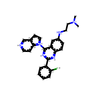 CN(C)CCNc1ccc2nc(-c3ccccc3F)nc(-n3ccc4cnccc43)c2c1